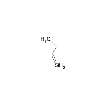 CCC=[SiH2]